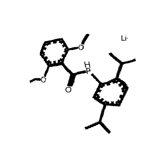 COc1cccc(OC)c1C(=O)Pc1cc(C(C)C)ccc1C(C)C.[Li]